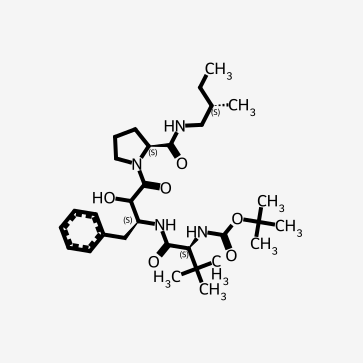 CC[C@H](C)CNC(=O)[C@@H]1CCCN1C(=O)C(O)[C@H](Cc1ccccc1)NC(=O)[C@@H](NC(=O)OC(C)(C)C)C(C)(C)C